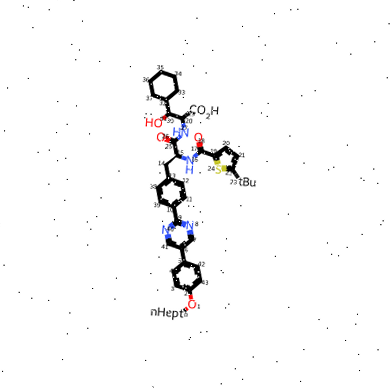 CCCCCCCOc1ccc(-c2cnc(-c3ccc(C[C@H](NC(=O)c4ccc(C(C)(C)C)s4)C(=O)NC(C(=O)O)C(O)C4CCCCC4)cc3)nc2)cc1